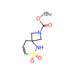 CC(C)(C)OC(=O)N1CC2(CC=CS(=O)(=O)N2)C1